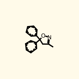 CC1=NOC(c2ccccc2)(c2ccccc2)C1